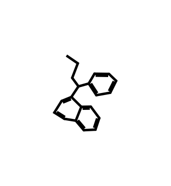 CCCC(c1ccccc1)c1cccc2ccccc12